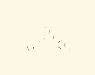 CCCCOC1C[C@H](CCSc2nc(C(=O)O)cs2)[C@@H](COc2ccc(C(O)CCC)cc2)C1Cl